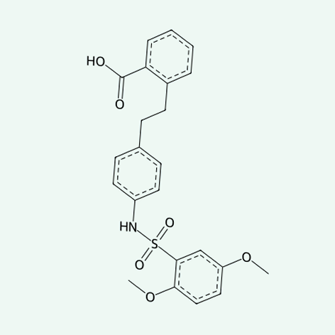 COc1ccc(OC)c(S(=O)(=O)Nc2ccc(CCc3ccccc3C(=O)O)cc2)c1